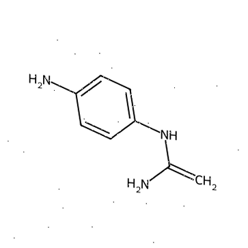 C=C(N)Nc1ccc(N)cc1